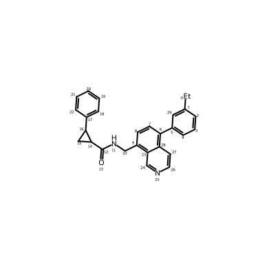 CCc1cccc(-c2ccc(CNC(=O)C3CC3c3ccccc3)c3cnccc23)c1